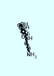 NCCOCCOCCNC(=O)C(F)c1ccc(OP(=O)(O)O)cc1